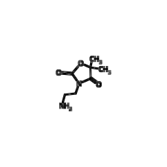 CC1(C)OC(=O)N(CCN)C1=O